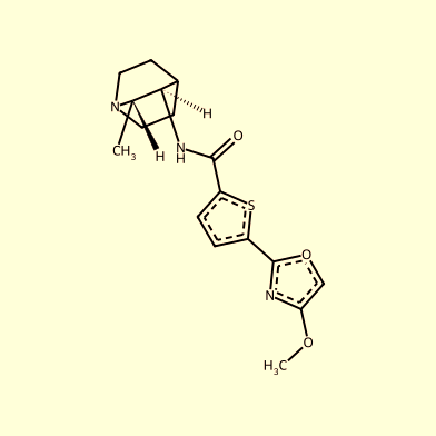 COc1coc(-c2ccc(C(=O)N[C@@H]3C4CCN(CC4)[C@H]3C)s2)n1